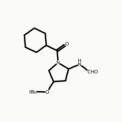 CC(C)(C)OC1CC(NC=O)N(C(=O)C2CCCCC2)C1